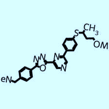 CNCc1ccc(-c2nnc(-c3cncc(-c4ccc(SC(C)CCOC)cc4)n3)o2)cc1